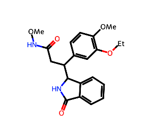 CCOc1cc(C(CC(=O)NOC)C2NC(=O)c3ccccc32)ccc1OC